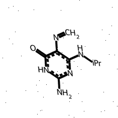 C=Nc1c(NC(C)C)nc(N)[nH]c1=O